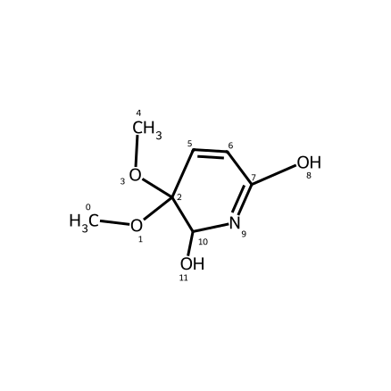 COC1(OC)C=CC(O)=NC1O